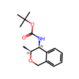 C[C@@H]1OCc2ccccc2[C@@H]1NC(=O)OC(C)(C)C